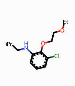 CCOCCOc1c(Cl)cccc1NCC(C)C